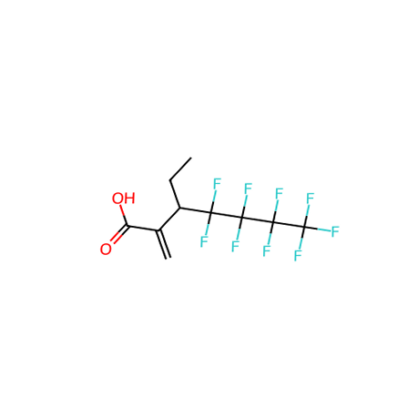 C=C(C(=O)O)C(CC)C(F)(F)C(F)(F)C(F)(F)C(F)(F)F